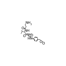 CC(C)C(NC(=O)CCN)C(=O)NCC(=O)Nc1ccc(COC=O)cc1